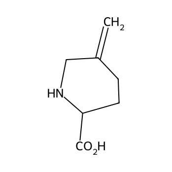 C=C1CCC(C(=O)O)NC1